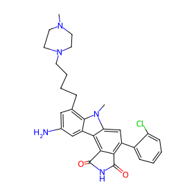 CN1CCN(CCCCc2cc(N)cc3c4c5c(c(-c6ccccc6Cl)cc4n(C)c23)C(=O)NC5=O)CC1